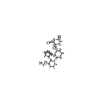 Cc1ccccc1-c1cnnn1-c1ccccc1Oc1ccc(Cl)cc1Cl